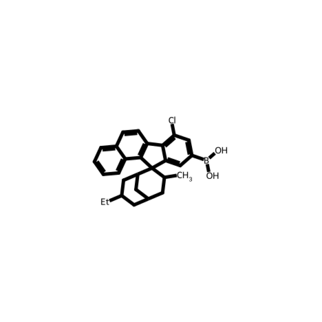 CCC1CC2CC(C)C3(c4cc(B(O)O)cc(Cl)c4-c4ccc5ccccc5c43)C(C1)C2